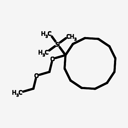 CCOCOC1([Si](C)(C)C)CCCCCCCCCCC1